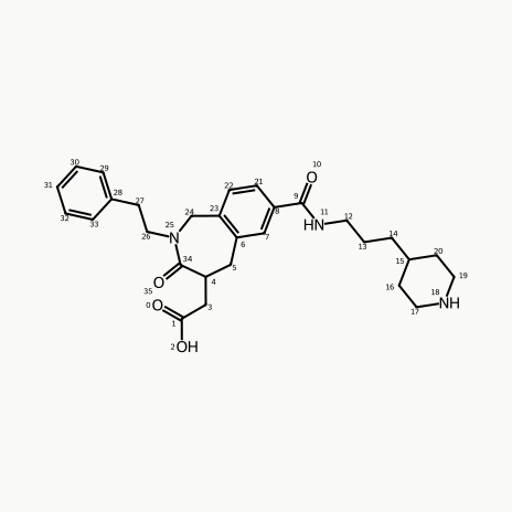 O=C(O)CC1Cc2cc(C(=O)NCCCC3CCNCC3)ccc2CN(CCc2ccccc2)C1=O